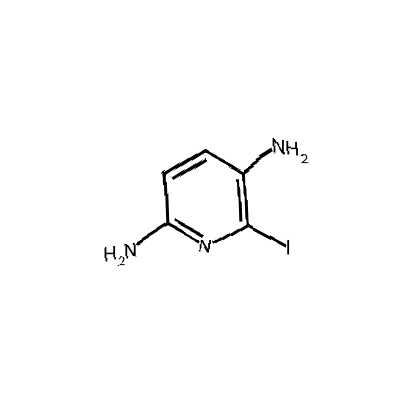 Nc1ccc(N)c(I)n1